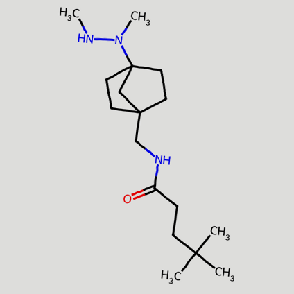 CNN(C)C12CCC(CNC(=O)CCC(C)(C)C)(CC1)C2